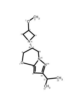 COC1CN([C@H]2COc3cc(C(C)C)nn3C2)C1